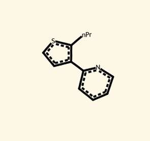 CCCc1sccc1-c1ccccn1